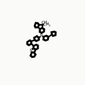 CC1(C)c2ccccc2-c2cc(N(c3ccc(-c4ccccc4-c4cccc5c4sc4ccccc45)cc3)c3cccc(-c4ccccc4)c3)ccc21